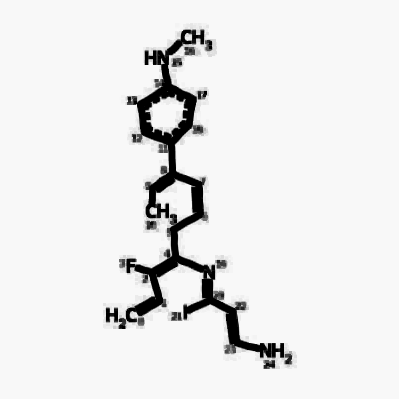 C=C\C(F)=C(C/C=C\C(=C/C)c1ccc(NC)cc1)/N=C(I)/C=C/N